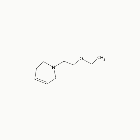 CCOCCN1CC=CCC1